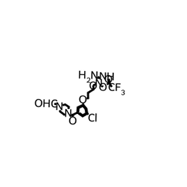 N=C(N)N(OCCCOc1cc(Cl)cc(C(=O)N2CCN(C=O)CC2)c1)OC(=O)C(F)(F)F